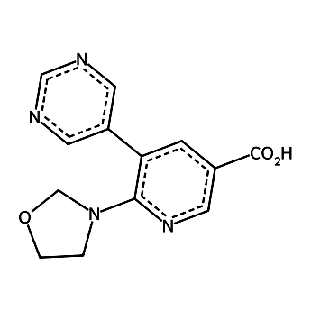 O=C(O)c1cnc(N2CCOC2)c(-c2cncnc2)c1